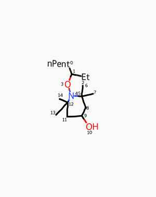 CCCCCC(CC)ON1C(C)(C)CC(O)CC1(C)C